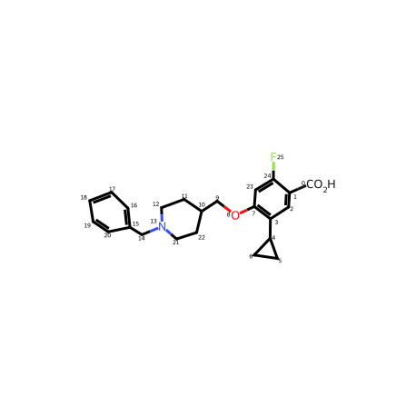 O=C(O)c1cc(C2CC2)c(OCC2CCN(Cc3ccccc3)CC2)cc1F